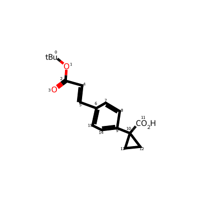 CC(C)(C)OC(=O)/C=C/c1ccc(C2(C(=O)O)CC2)cc1